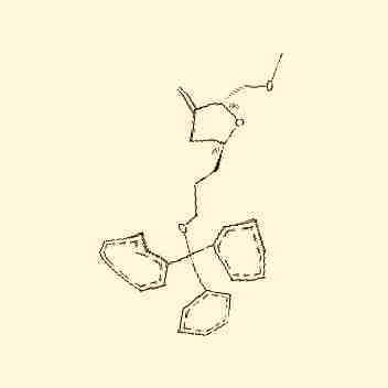 C=C1C[C@H](CCCOC(c2ccccc2)(c2ccccc2)c2ccccc2)O[C@H]1COC